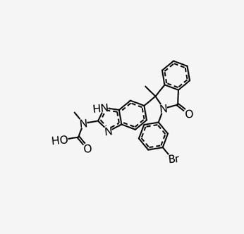 CN(C(=O)O)c1nc2ccc(C3(C)c4ccccc4C(=O)N3c3cccc(Br)c3)cc2[nH]1